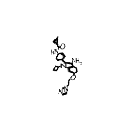 Nc1c(-c2ccc(NC(=O)C3CC3)cc2)n(C2CCC2)c2cc(OCCn3ccnc3)ccc12